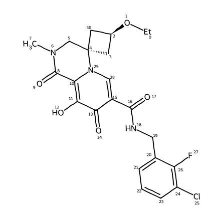 CCO[C@H]1C[C@]2(CN(C)C(=O)c3c(O)c(=O)c(C(=O)NCc4cccc(Cl)c4F)cn32)C1